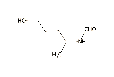 CC(CCCO)NC=O